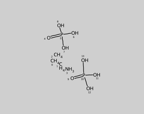 C.C.C.N.O=P(O)(O)O.O=P(O)(O)O